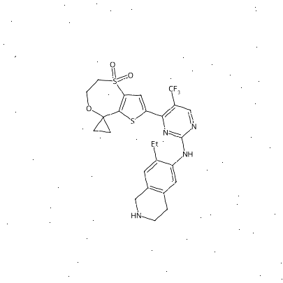 CCc1cc2c(cc1Nc1ncc(C(F)(F)F)c(-c3cc4c(s3)C3(CC3)OCCS4(=O)=O)n1)CCNC2